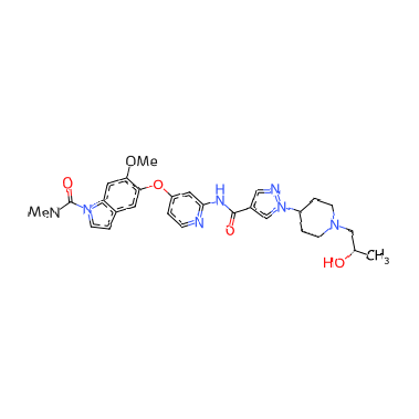 CNC(=O)n1ccc2cc(Oc3ccnc(NC(=O)c4cnn(C5CCN(CC(C)O)CC5)c4)c3)c(OC)cc21